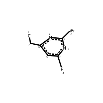 CC(C)c1nc(F)cc(CCl)n1